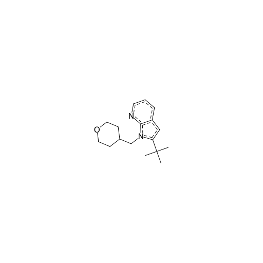 CC(C)(C)c1cc2cccnc2n1CC1CCOCC1